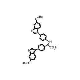 CCC(C)Oc1ccc2c(c1)ncn2-c1ccc(NN(C(=O)O)c2ccc(-n3cnc4cc(OC(C)CC)ccc43)cc2)cc1